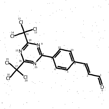 O=C/C=C/c1ccc(-c2nc(C(Cl)(Cl)Cl)nc(C(Cl)(Cl)Cl)n2)cc1